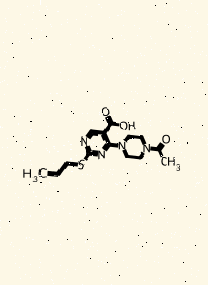 CCCSc1ncc(C(=O)O)c(N2CCN(C(C)=O)CC2)n1